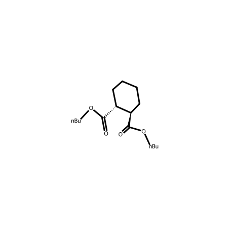 CCCCOC(=O)[C@@H]1CCCC[C@H]1C(=O)OCCCC